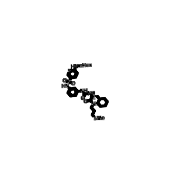 CCCCCCNc1ccc(S(=O)(=O)Nc2cccc(NC(=O)N[C@H](CC3CCCCC3)C(=O)NCCCSC)c2)cn1